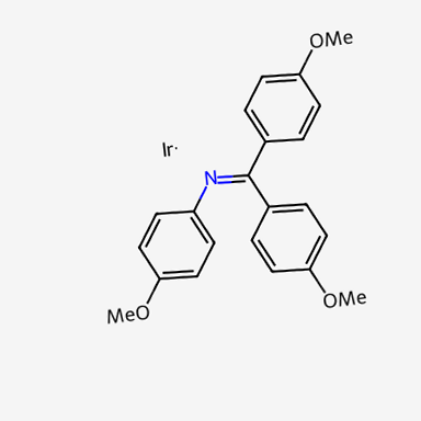 COc1ccc(N=C(c2ccc(OC)cc2)c2ccc(OC)cc2)cc1.[Ir]